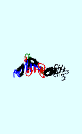 CC(C)(C)c1ccc(S(=O)(=O)Nc2ccc(Cl)c3c2C(O)N(c2ccncc2)C3=O)cc1